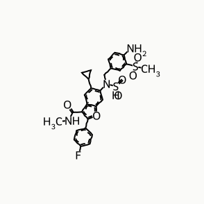 CNC(=O)c1c(-c2ccc(F)cc2)oc2cc(N(Cc3ccc(N)c(S(C)(=O)=O)c3)[SH](=O)=O)c(C3CC3)cc12